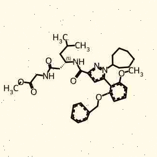 COC(=O)CNC(=O)C[C@H](CC(C)C)NC(=O)c1cc(-c2c(OC)cccc2OCc2ccccc2)n(C2CCCCCC2)n1